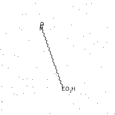 O=C=NCCCCCCCCCCCCCCCCCCCCCCCCCCCCCCCCC(=O)O